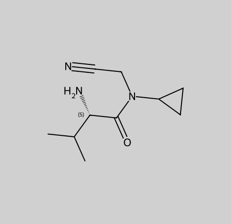 CC(C)[C@H](N)C(=O)N(CC#N)C1CC1